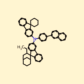 CCC1CC2CCCC(C2)C12c1ccccc1-c1cc(N(c3ccc(-c4ccc5ccccc5c4)cc3)c3ccc4c(c3)C3(CCCCC3)c3ccccc3-4)ccc12